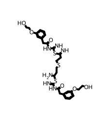 N=C(CCSCCC(N)SC(=N)NC(=O)Cc1cccc(OCCO)c1)SC(=N)NC(=O)Cc1cccc(OCCO)c1